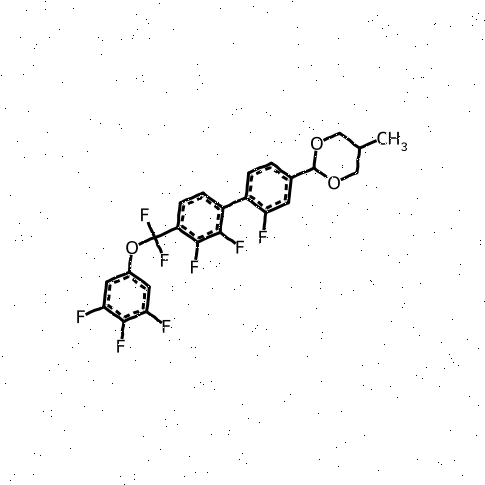 CC1COC(c2ccc(-c3ccc(C(F)(F)Oc4cc(F)c(F)c(F)c4)c(F)c3F)c(F)c2)OC1